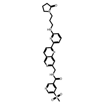 CS(=O)(=O)c1cncc(C(=O)NCc2cc3nc(-c4cccc(NCCCN5CCCC5=O)n4)ccc3cn2)c1